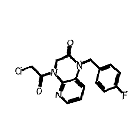 O=C1CN(C(=O)CCl)c2ncccc2N1Cc1ccc(F)cc1